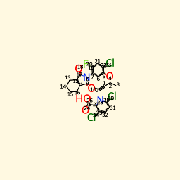 C#CC(C)Oc1cc(N2C(=O)C3=C(CCCC3)C2=O)c(F)cc1Cl.O=C(O)c1nc(Cl)ccc1Cl